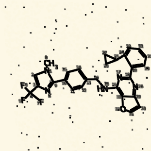 Cn1cc(C(F)(F)F)nc1-c1ccc(CNc2nc(-c3ccccc3C3CC3)nc3ccoc23)cc1